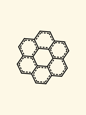 [c]1cc2ccc3ccc4ccc5ccc6ccc1c1c2c3c4c5c61